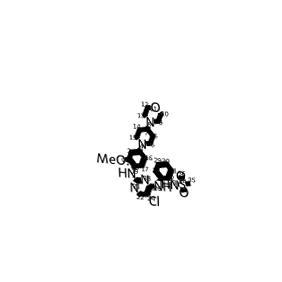 COc1cc(N2CCC(N3CCOCC3)CC2)ccc1Nc1ncc(Cl)c(Nc2ccccc2NS(C)(=O)=O)n1